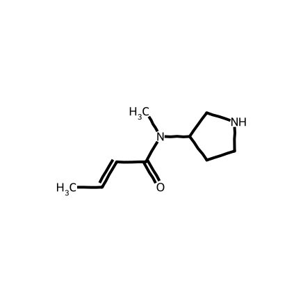 CC=CC(=O)N(C)C1CCNC1